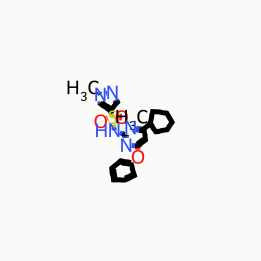 Cn1cc(S(=O)(=O)Nc2nc(Oc3ccccc3)cc(C3(C)CCCCC3)n2)cn1